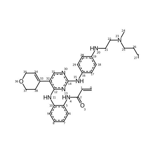 C=CC(=O)Nc1ccccc1Nc1nc(Nc2ccc(NCCN(C)CCI)cc2)ncc1C1=CCOCC1